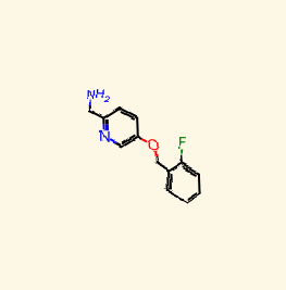 NCc1ccc(OCc2ccccc2F)cn1